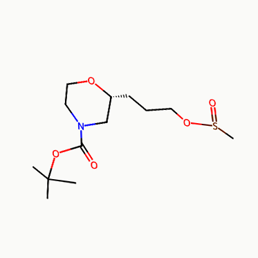 CS(=O)OCCC[C@@H]1CN(C(=O)OC(C)(C)C)CCO1